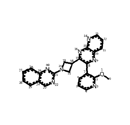 COc1ncccc1-c1nc2cccnc2nc1C1CN(c2ncc3ccccc3n2)C1